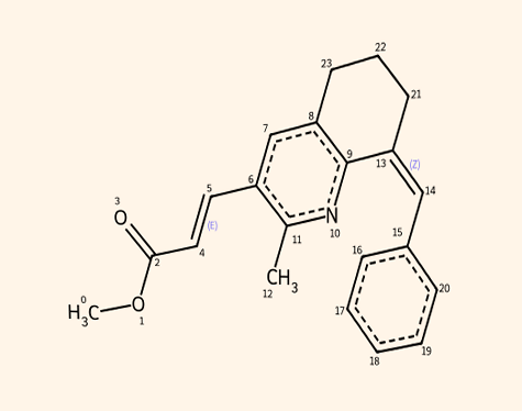 COC(=O)/C=C/c1cc2c(nc1C)/C(=C\c1ccccc1)CCC2